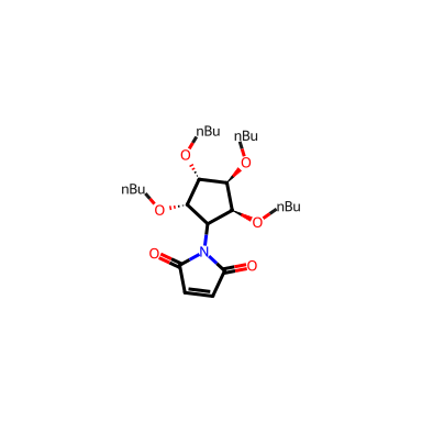 CCCCO[C@@H]1[C@@H](OCCCC)[C@@H](OCCCC)C(N2C(=O)C=CC2=O)[C@@H]1OCCCC